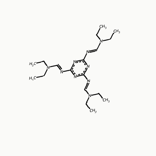 CCN(C=Nc1nc(N=CN(CC)CC)nc(N=CN(CC)CC)n1)CC